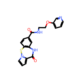 O=C(NCCOc1cccnc1)c1ccc2c(c1)NC(=O)c1cccn1S2